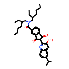 CCCCC(CC)CN(CC(CC)CCCC)C(=O)c1ccc2c(c1)C(=O)C(c1nc3ccc(C(C)C)cc3cc1O)C2=O